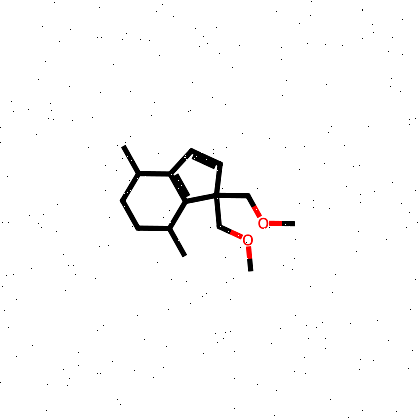 COCC1(COC)C=CC2=C1C(C)CCC2C